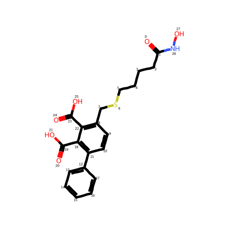 O=C(CCCCSCc1ccc(-c2ccccc2)c(C(=O)O)c1C(=O)O)NO